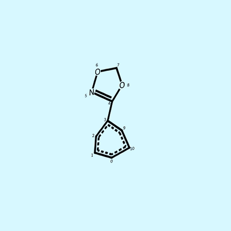 c1ccc(C2=NOCO2)cc1